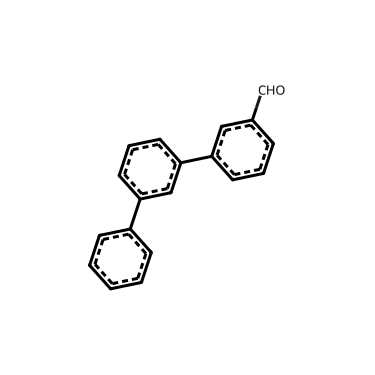 O=Cc1cccc(-c2cccc(-c3ccccc3)c2)c1